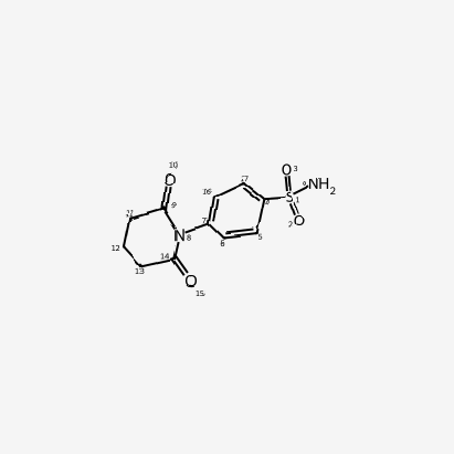 NS(=O)(=O)c1ccc(N2C(=O)CCCC2=O)cc1